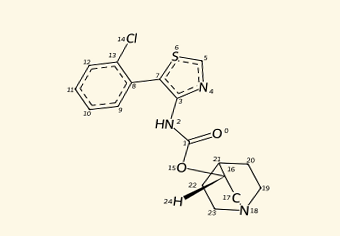 O=C(Nc1ncsc1-c1ccccc1Cl)O[C@H]1CN2CCC1CC2